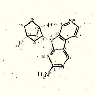 Nc1ncc2c3ccncc3n([C@@H]3C[C@H]4CC[C@@H]3C4)c2n1